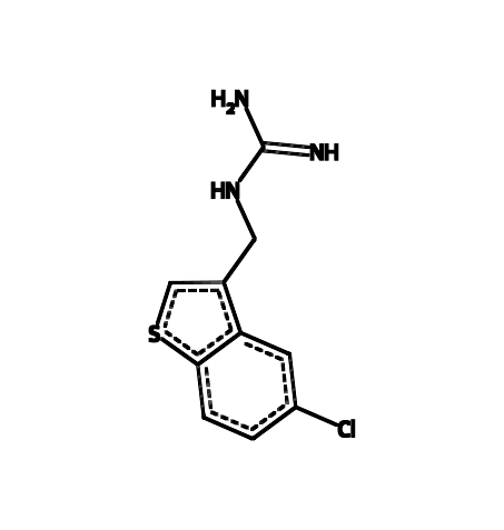 N=C(N)NCc1csc2ccc(Cl)cc12